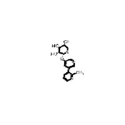 Cc1ncccc1-c1cncc(O[C@H]2SC[C@@H](O)[C@H](O)[C@H]2O)c1